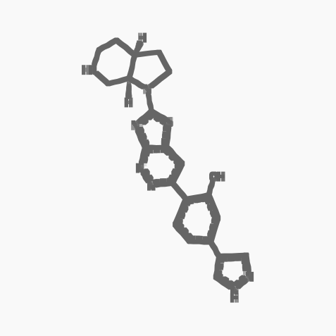 Oc1cc(-c2cn[nH]c2)ccc1-c1cc2sc(N3CC[C@H]4CCNC[C@H]43)nc2nn1